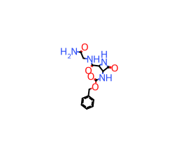 NC(=O)CNC(=O)C1NC(=O)C1NC(=O)OCc1ccccc1